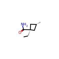 CC[C@]1(C(N)=O)C[C@H](C)C1